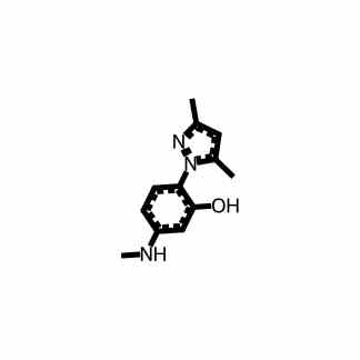 CNc1ccc(-n2nc(C)cc2C)c(O)c1